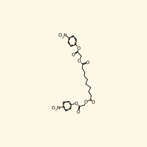 O=C(CCCCCCCCC(=O)OCC(=O)Oc1ccc([N+](=O)[O-])cc1)OCC(=O)Oc1ccc([N+](=O)[O-])cc1